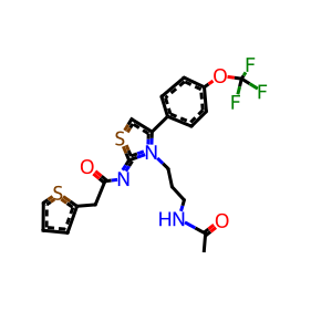 CC(=O)NCCCn1c(-c2ccc(OC(F)(F)F)cc2)cs/c1=N\C(=O)Cc1cccs1